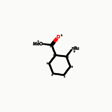 CCCCC1CCCCC1C(=O)OC